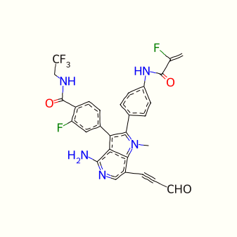 C=C(F)C(=O)Nc1ccc(-c2c(-c3ccc(C(=O)NCC(F)(F)F)c(F)c3)c3c(N)ncc(C#CC=O)c3n2C)cc1